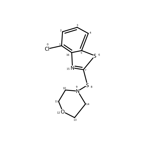 Clc1cccc2sc(SN3CCOCC3)nc12